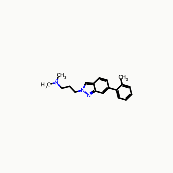 Cc1ccccc1-c1ccc2cn(CCCN(C)C)nc2c1